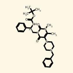 Cc1c(N2CCN(Cc3ccccc3)CC2)c(=O)n(C[C@H](NC(=O)OC(C)(C)C)c2ccccc2)c(=O)n1C